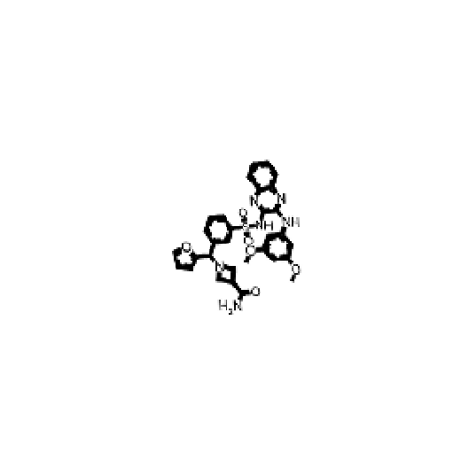 COc1cc(Nc2nc3ccccc3nc2NS(=O)(=O)c2cccc(C(c3ccco3)N3CC(C(N)=O)C3)c2)cc(OC)c1